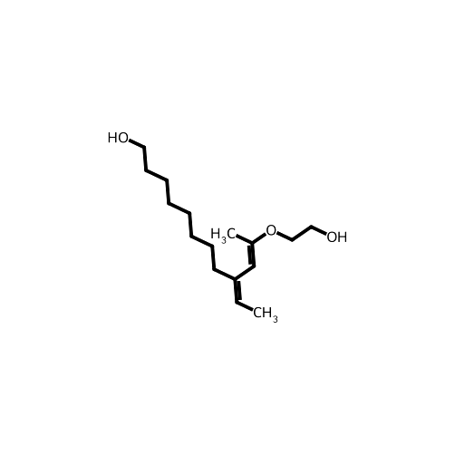 C/C=C(\C=C(/C)OCCO)CCCCCCCCO